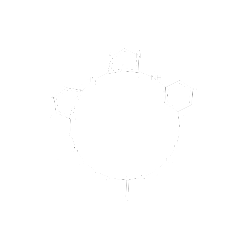 CCN1CCCC(=O)NCCCOc2cccc(c2)Nc2cc(ncn2)Nc2cccc(c2)C1